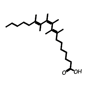 CCCCC/C(C)=C(C)/C(C)=C(C)\C(C)=C(/C)CCCCCCC(=O)O